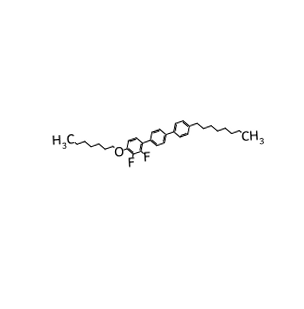 CCCCCCCCc1ccc(-c2ccc(-c3ccc(OCCCCCCC)c(F)c3F)cc2)cc1